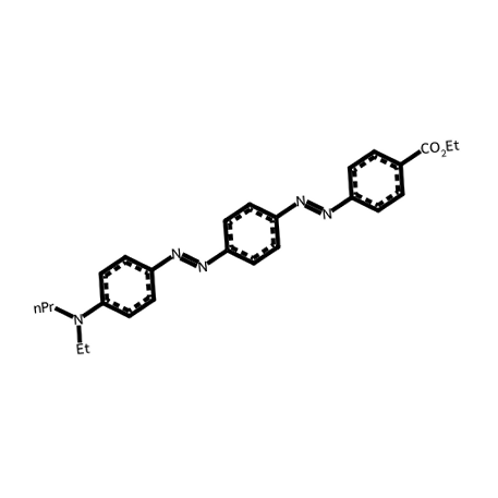 CCCN(CC)c1ccc(N=Nc2ccc(N=Nc3ccc(C(=O)OCC)cc3)cc2)cc1